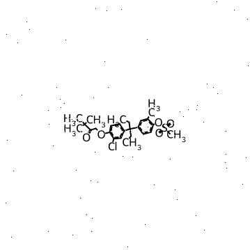 CCC(CC)(c1ccc(OS(C)(=O)=O)c(C)c1)c1ccc(OCC(=O)C(C)(C)C)c(Cl)c1